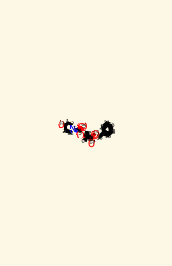 CC(C)(OC(=O)N1CCC(=O)CC1)C(=O)OCc1ccccc1